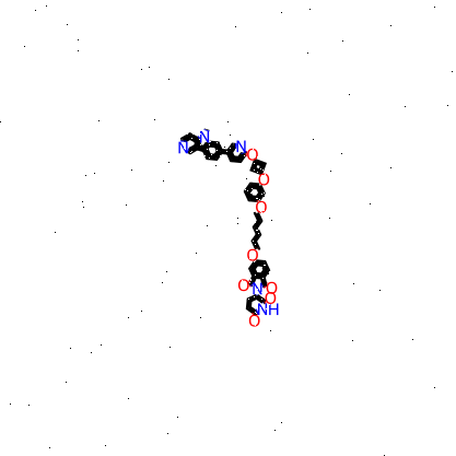 Cn1c2ccncc2c2ccc(-c3ccc(O[C@H]4C[C@H](Oc5cccc(OCCCCCCOc6ccc7c(c6)C(=O)N(C6CCC(=O)NC6=O)C7=O)c5)C4)nc3)cc21